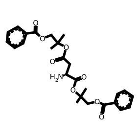 CC(C)(COC(=O)c1ccccc1)OC(=O)C[C@H](N)C(=O)OC(C)(C)COC(=O)c1ccccc1